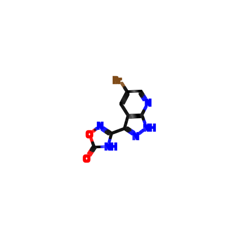 O=c1[nH]c(-c2n[nH]c3ncc(Br)cc23)no1